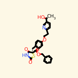 CC(O)c1ccc(CCOc2ccc(C[C@]3(C(=O)OCc4ccccc4)SC(=O)NC3=O)cc2)nc1